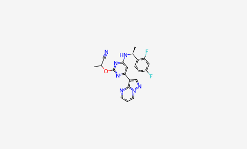 CC(C#N)Oc1nc(N[C@@H](C)c2ccc(F)cc2F)cc(-c2cnn3cccnc23)n1